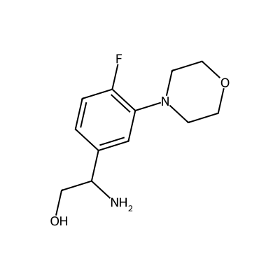 NC(CO)c1ccc(F)c(N2CCOCC2)c1